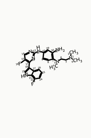 CN(C)CCN(C)c1ccc(Nc2ncc(F)c(-c3c[nH]c4c(F)cccc34)n2)cc1N